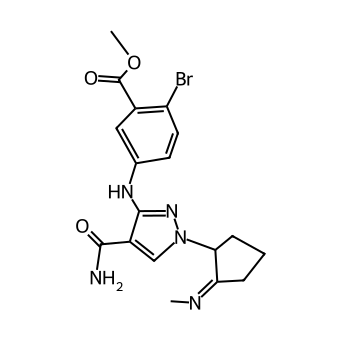 C/N=C1/CCCC1n1cc(C(N)=O)c(Nc2ccc(Br)c(C(=O)OC)c2)n1